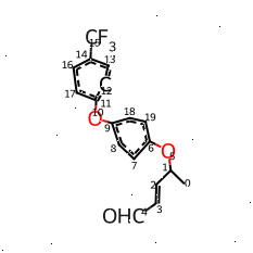 CC(C=CC=O)Oc1ccc(Oc2ccc(C(F)(F)F)cc2)cc1